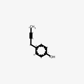 CC#CCc1ccc(O)cc1